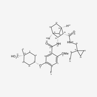 COc1cc(F)c(O[C@H]2CC[C@@](C)(C(=O)O)CC2)cc1C(=O)N[C@@H]1[C@H]2CC[C@H](C2)[C@@H]1C(=O)NCC1(CF)CC1